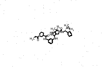 C=CC(=O)N1CCCC(C(=O)Nc2cccc(NC3NNC4=C3CN(C(=O)N[C@H](CN(C)C)c3ccccc3)C4(C)C)c2)C1